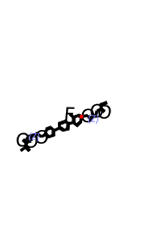 C=CC(=O)O/C=C\Oc1ccc(-c2ccc(-c3ccc(O/C=C\OC(=O)C(=C)C)cc3)cc2)c(F)c1